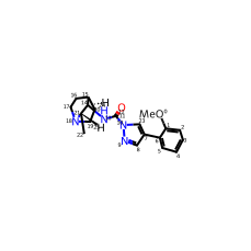 COc1ccccc1-c1cnn(C(=O)N[C@@H]2C3CCN(CC3)[C@H]2C)c1